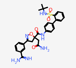 CC(C)(C)NS(=O)(=O)c1ccccc1-c1ccc(NC(=O)C2(CC(N)=O)CC(c3cccc(C(=N)N)c3)=NO2)cc1